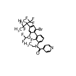 CCN(C(=O)c1ccncc1)c1cccc(-c2c(Br)cc(C(C)(C(C)(F)F)C(F)(F)F)cc2OC(F)F)c1F